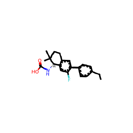 CCc1ccc(-c2cc3c(cc2F)[C@H](NC(=O)O)C(C)(C)CC3)cc1